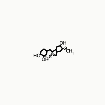 COC1CC2CN(C)C(CC3CCC(O)C(O)C3)C2CC1O